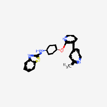 Cc1cc(-c2cccnc2O[C@H]2CC[C@H](Nc3nc4ccccc4s3)CC2)ccn1